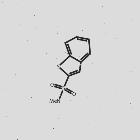 CNS(=O)(=O)c1cc2ccccc2s1